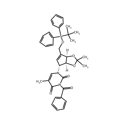 Cc1cn([C@@H]2C=C(CO[Si](c3ccccc3)(c3ccccc3)C(C)(C)C)[C@H]3OC(C)(C)O[C@H]32)c(=O)n(C(=O)c2ccccc2)c1=O